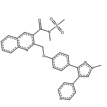 CN(C(=O)c1cc2ccccc2nc1COc1ccc(-c2nn(C)cc2-c2ccncc2)cc1)S(C)(=O)=O